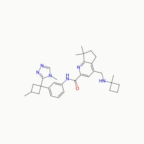 CC1CC(c2cccc(NC(=O)c3cc(CNC4(C)CCC4)c4c(n3)C(C)(C)CC4)c2)(c2nncn2C)C1